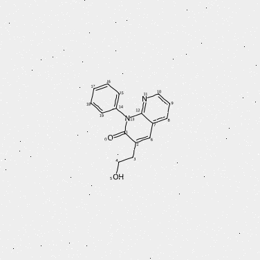 O=c1c(CCO)cc2cccnc2n1-c1ccccc1